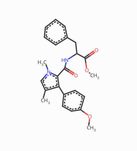 COC(=O)C(Cc1ccccc1)NC(=O)c1c(-c2ccc(OC)cc2)c(C)cn1C